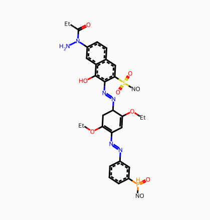 CCOC1=CC(/N=N/c2cccc([PH](=O)N=O)c2)=C(OCC)CC1/N=N/c1c(S(=O)(=O)N=O)cc2ccc(N(N)C(=O)CC)cc2c1O